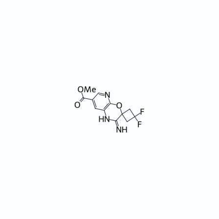 COC(=O)c1cnc2c(c1)NC(=N)C1(CC(F)(F)C1)O2